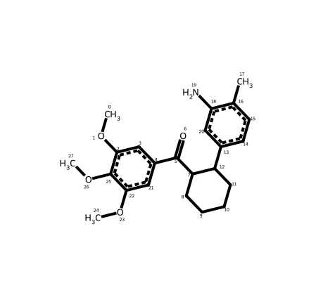 COc1cc(C(=O)C2CCCCC2c2ccc(C)c(N)c2)cc(OC)c1OC